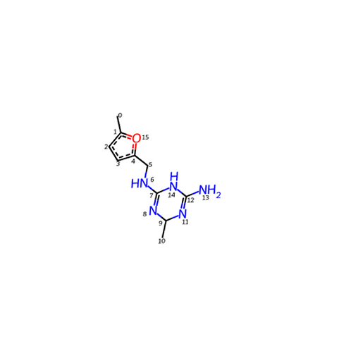 Cc1ccc(CNC2=NC(C)N=C(N)N2)o1